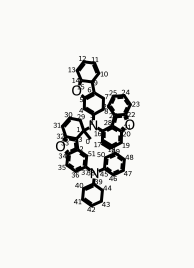 CC1(N(C2=CC3=C(CC2)C2C=CC=CC2O3)c2c#ccc3oc4ccccc4c23)CC=Cc2oc3ccc(N(C4=CC=CCC4)c4ccccc4)cc3c21